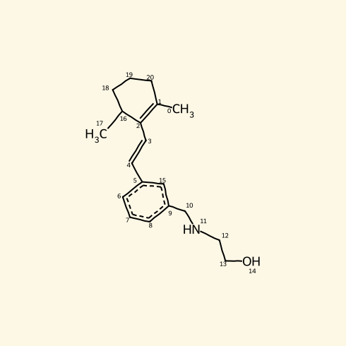 CC1=C(/C=C/c2cccc(CNCCO)c2)C(C)CCC1